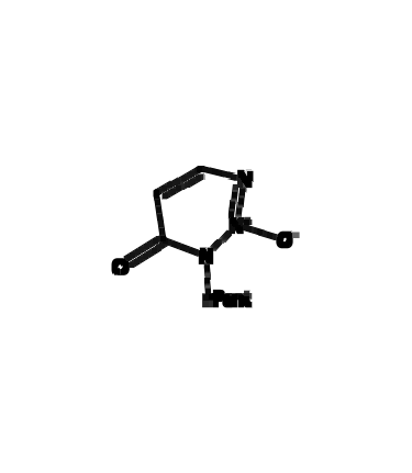 CCCCCn1c(=O)ccn[n+]1[O-]